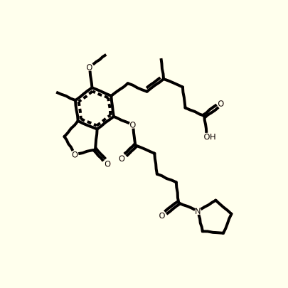 COc1c(C)c2c(c(OC(=O)CCCC(=O)N3CCCC3)c1C/C=C(\C)CCC(=O)O)C(=O)OC2